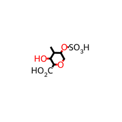 CC1C(OS(=O)(=O)O)COC(C(=O)O)C1O